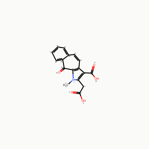 Cn1c(CC(=O)O)c(C(=O)O)c2ccc3ccccc3c(=O)c21